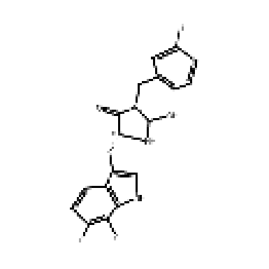 O=C1[C@@H](Cc2c[nH]c3c(Cl)c(F)ccc23)NC(O)N1Cc1cccc(Cl)c1